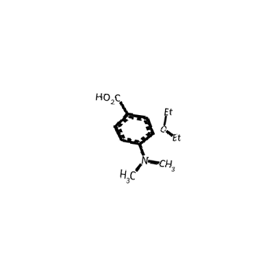 CCOCC.CN(C)c1ccc(C(=O)O)cc1